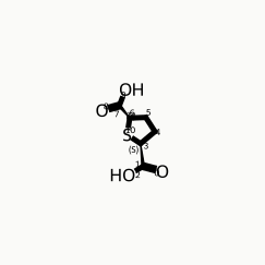 O=C(O)[C@@H]1CC[C@H](C(=O)O)S1